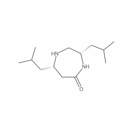 CC(C)C[C@H]1CC(=O)N[C@@H](CC(C)C)CN1